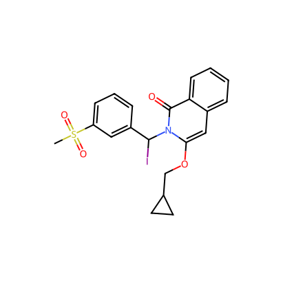 CS(=O)(=O)c1cccc(C(I)n2c(OCC3CC3)cc3ccccc3c2=O)c1